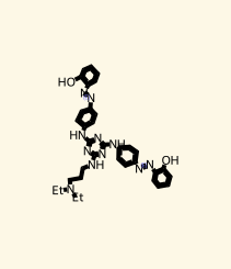 CCN(CC)CCCNc1nc(Nc2ccc(/N=N/c3ccccc3O)cc2)nc(Nc2ccc(/N=N/c3ccccc3O)cc2)n1